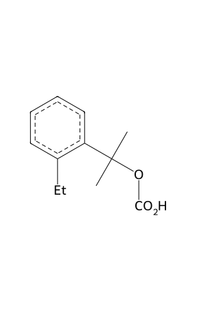 CCc1ccccc1C(C)(C)OC(=O)O